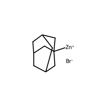 [Br-].[Zn+][C]12CC3CC(CC(C3)C1)C2